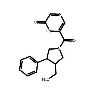 CCC1CN(C(=O)c2cncc(=O)[nH]2)CC1c1ccccc1